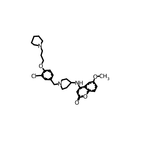 COc1ccc2oc(=O)cc(NC3CCN(Cc4ccc(OCCCN5CCCCC5)c(Cl)c4)CC3)c2c1